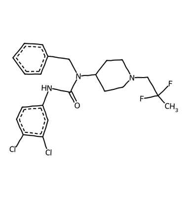 CC(F)(F)CN1CCC(N(Cc2ccccc2)C(=O)Nc2ccc(Cl)c(Cl)c2)CC1